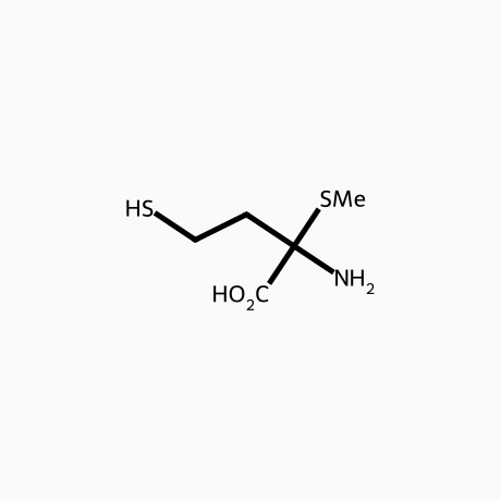 CSC(N)(CCS)C(=O)O